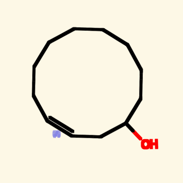 OC1C/C=C\CCCCCCCC1